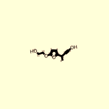 CC(C#CO)c1ccc(OCCO)o1